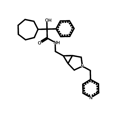 O=C(NCC1C2CN(Cc3ccncc3)CC12)C(O)(c1ccccc1)C1CCCCCC1